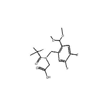 COC(OC)c1cc(F)c(F)cc1CN(CC(=O)O)C(=O)C(C)(C)C